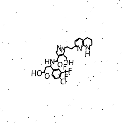 O=C(O)CC(NC(=O)c1cnn(CCc2ccc3c(n2)NCCC3)c1CO)c1ccc(Cl)c(C(F)(F)F)c1